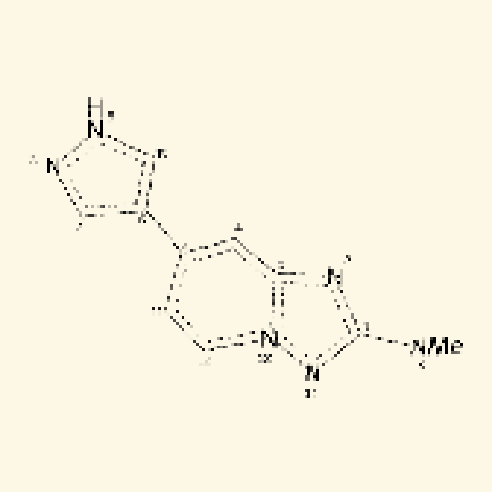 CNc1nc2cc(-c3cn[nH]c3)ccn2n1